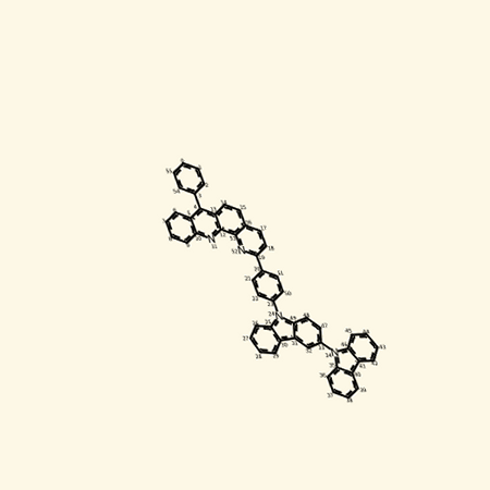 c1ccc(-c2c3ccccc3nc3c2ccc2ccc(-c4ccc(-n5c6ccccc6c6cc(-n7c8ccccc8c8ccccc87)ccc65)cc4)nc23)cc1